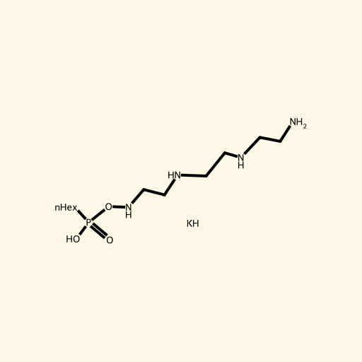 CCCCCCP(=O)(O)ONCCNCCNCCN.[KH]